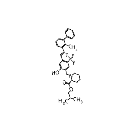 Cc1c(/C=C/c2cc(O)c(CN3CCCC[C@H]3C(=O)OCC(C)C)cc2C(F)(F)F)cccc1-c1ccccc1